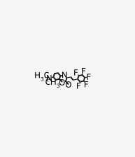 CN(C)c1ccc2nc(C=Cc3c(F)c(F)c(F)c(F)c3F)c(=O)oc2c1